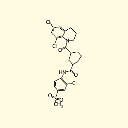 CS(=O)(=O)c1ccc(NC(=O)C2CCCC(C(=O)N3CCCc4cc(Cl)cc(Cl)c43)C2)c(Cl)c1